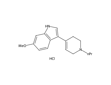 CCCN1CC=C(c2c[nH]c3cc(OC)ccc23)CC1.Cl